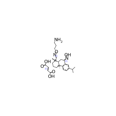 CC(C)c1ccc2c(c1)/C(=N/O)CC1[C@@](C)(/C=N/OCCCN)CCC[C@]21C.O=C(O)/C=C/C(=O)O